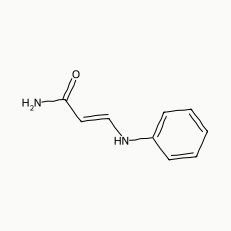 NC(=O)/C=C/Nc1ccccc1